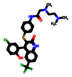 CN(C)CCN(C)CC(=O)Nc1ccc(Sc2c(-c3cc(Cl)ccc3O)c3cc(C(F)(F)F)ccc3[nH]c2=O)cc1